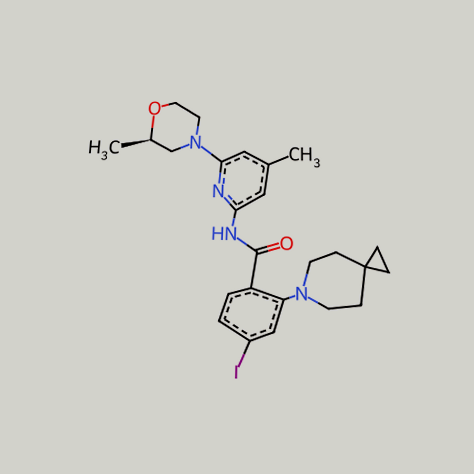 Cc1cc(NC(=O)c2ccc(I)cc2N2CCC3(CC2)CC3)nc(N2CCO[C@H](C)C2)c1